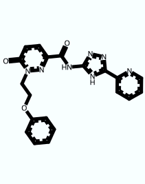 O=C(Nc1nnc(-c2ccccn2)[nH]1)c1ccc(=O)n(CCOc2ccccc2)n1